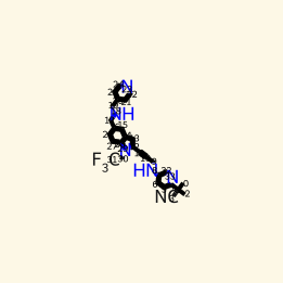 CC(C)(C#N)c1ccc(NCC#Cc2cc3cc(CNCc4ccncc4)ccc3n2CC(F)(F)F)cn1